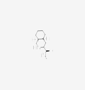 CNC(=O)C1C[C@@H]2CCCC[C@@H]2CN1